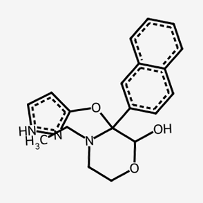 CCN1CCOC(O)C1(Oc1cc[nH]n1)c1ccc2ccccc2c1